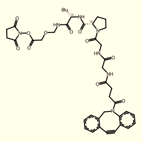 CCC(C)[C@H](NC(=O)[C@@H]1CCCN1C(=O)CNC(=O)CNC(=O)CCC(=O)N1Cc2ccccc2C#Cc2ccccc21)C(=O)NCOCC(=O)ON1C(=O)CCC1=O